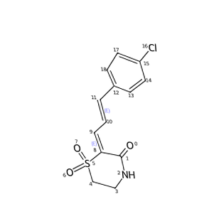 O=C1NCCS(=O)(=O)/C1=C/C=C/c1ccc(Cl)cc1